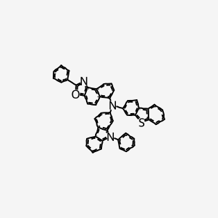 c1ccc(-c2nc3c(ccc4c(N(c5ccc6c(c5)sc5ccccc56)c5ccc6c7ccccc7n(-c7ccccc7)c6c5)cccc43)o2)cc1